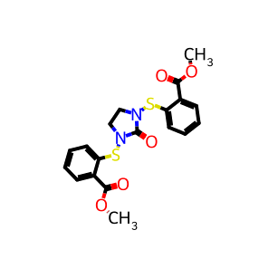 COC(=O)c1ccccc1SN1CCN(Sc2ccccc2C(=O)OC)C1=O